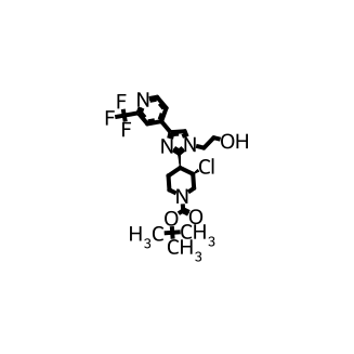 CC(C)(C)OC(=O)N1CC[C@@H](c2nc(-c3ccnc(C(F)(F)F)c3)cn2CCO)[C@@H](Cl)C1